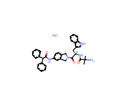 CC(C)(N)C(=O)N[C@H](Cc1c[nH]c2ccccc12)C(=O)N1Cc2ccc(NC(=O)C(c3ccccc3)c3ccccc3)cc2C1.Cl